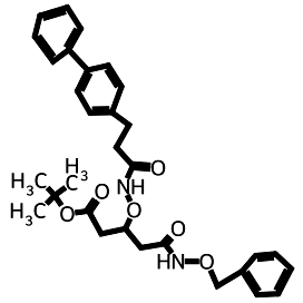 CC(C)(C)OC(=O)CC(CC(=O)NOCc1ccccc1)ONC(=O)CCc1ccc(-c2ccccc2)cc1